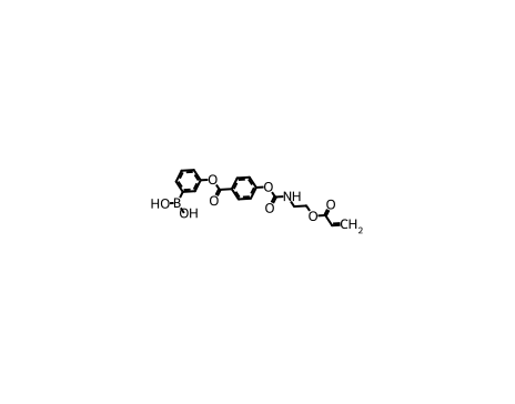 C=CC(=O)OCCNC(=O)Oc1ccc(C(=O)Oc2cccc(B(O)O)c2)cc1